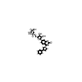 O=P(O)(O)CP(=O)(O)OC[C@H]1O[C@@H](c2ccc3c(N4CCC(c5ccccc5)C4)nc(Cl)nc3c2)[C@H](O)[C@@H]1O